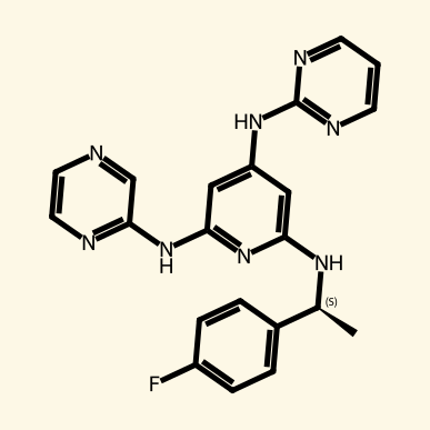 C[C@H](Nc1cc(Nc2ncccn2)cc(Nc2cnccn2)n1)c1ccc(F)cc1